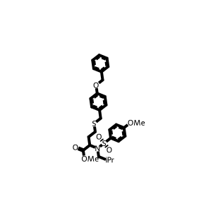 COC(=O)C(CCSCc1ccc(OCc2ccccc2)cc1)N(CC(C)C)S(=O)(=O)c1ccc(OC)cc1